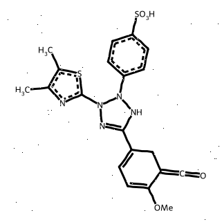 COC1=CC=C(C2=NN(c3nc(C)c(C)s3)N(c3ccc(S(=O)(=O)O)cc3)N2)CC1=C=O